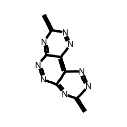 C=c1nnc2c(nnc3nc(=C)nnc32)n1